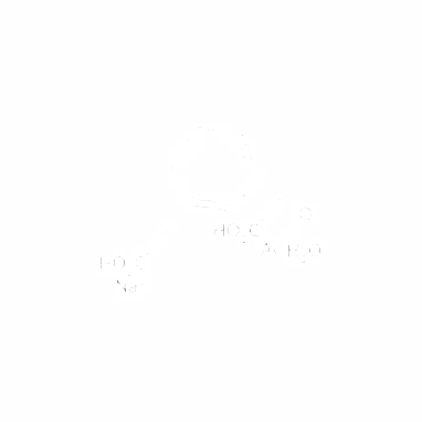 CC(=O)O.CC(=O)O.CC(=O)[O-].O.[Na+].c1ccccc1